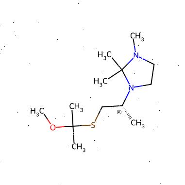 COC(C)(C)SC[C@@H](C)N1CCN(C)C1(C)C